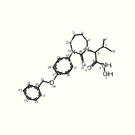 CC(C)C(C(=O)NO)N1CCCCN(c2ccc(OCc3ccccc3)cc2)C1=O